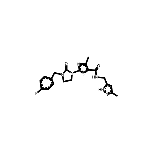 Cc1cc(CNC(=O)c2sc(N3CCN(Cc4ccc(F)cc4)C3=O)nc2C)[nH]n1